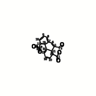 O=C1OC(=O)c2cc3cccc([N+](=O)[O-])c3c3cccc1c23